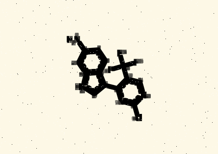 Nc1ccc2c(-c3nc(Cl)ncc3C(F)(F)F)c[nH]c2c1